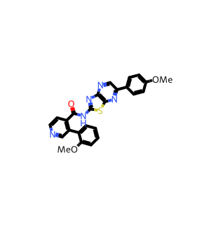 COc1ccc(-c2cnc3nc(NC(=O)c4ccncc4-c4ccccc4OC)sc3n2)cc1